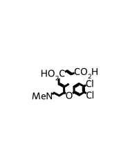 C/C=C(\C)C(CCNC)Oc1ccc(Cl)c(Cl)c1.O=C(O)/C=C/C(=O)O